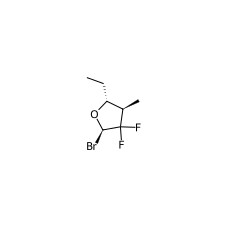 CC[C@H]1O[C@H](Br)C(F)(F)[C@@H]1C